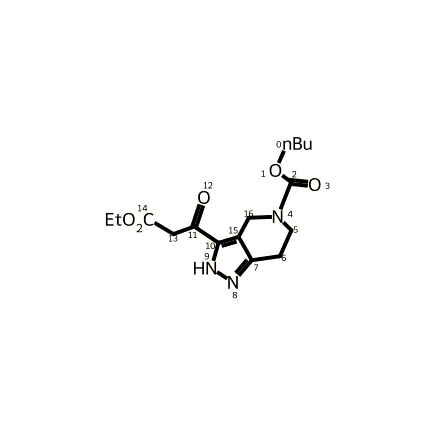 CCCCOC(=O)N1CCc2n[nH]c(C(=O)CC(=O)OCC)c2C1